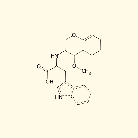 COC1C(NC(Cc2c[nH]c3ccccc23)C(=O)O)COC2=CCCCC21